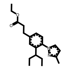 CCOC(=O)CCc1ccc(-n2ccc(C)n2)c(C(CC)CC)c1